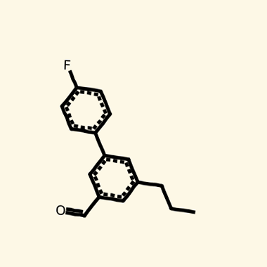 CCCc1cc(C=O)cc(-c2ccc(F)cc2)c1